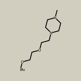 CCC(C)OCCOCCN1CCN(C)CC1